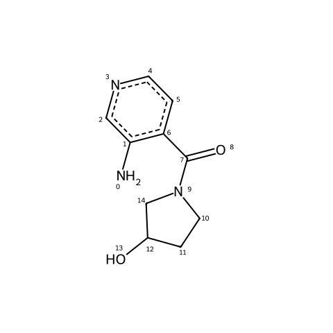 Nc1cnccc1C(=O)N1CCC(O)C1